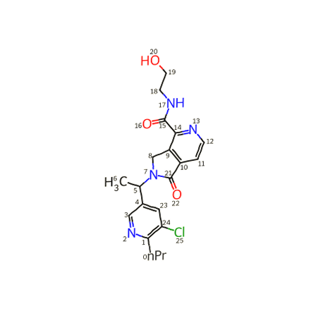 CCCc1ncc(C(C)N2Cc3c(ccnc3C(=O)NCCO)C2=O)cc1Cl